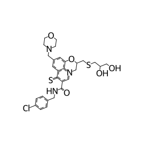 O=C(NCc1ccc(Cl)cc1)c1cn2c3c(cc(CN4CCOCC4)cc3c1=S)OC(CSCC(O)CO)C2